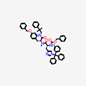 CN(C(=O)[C@H](Cc1cn(C(c2ccccc2)(c2ccccc2)c2ccccc2)cn1)NC(=O)OCc1ccccc1)[C@@H](Cc1ccc(OCc2ccccc2)cc1)C(=O)NCC(C)(C)c1ccccc1